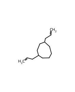 C=CCC1CCCCC(CC=C)CC1